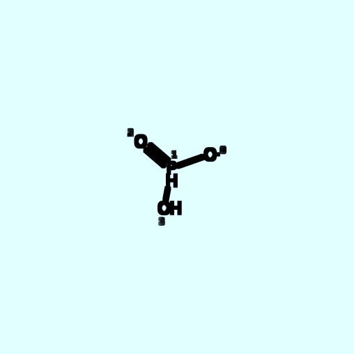 [O][PH](=O)O